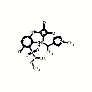 CON(C)S(=O)(=O)c1c(Cl)ccc(Nc2c(NC(C)c3ccn(C)c3)c(=O)c2=O)c1O